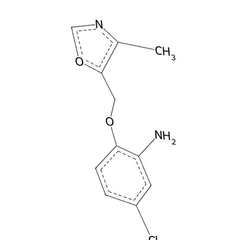 Cc1ncoc1COc1ccc(Cl)cc1N